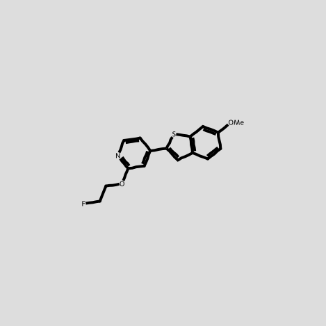 COc1ccc2cc(-c3ccnc(OCCF)c3)sc2c1